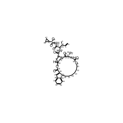 C=C[C@H](C)C(NC(=O)[C@@H]1C[C@@H]2CN1C(=O)[C@H](C(C)C)NC(=O)OCCCCCCn1c(cc3ccccc31)C(=O)O2)C(=O)NS(=O)(=O)C1CC1